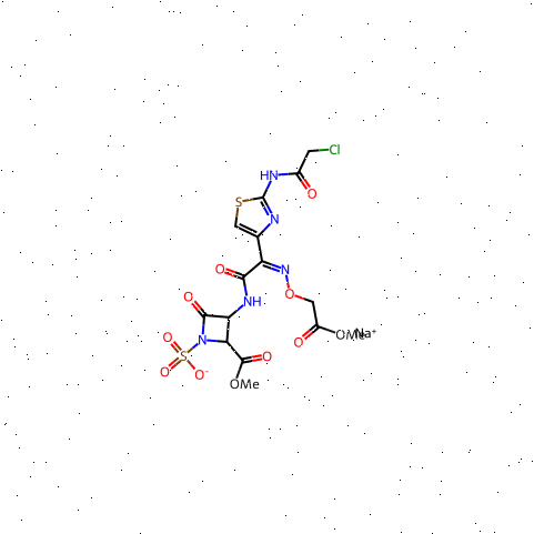 COC(=O)CON=C(C(=O)NC1C(=O)N(S(=O)(=O)[O-])C1C(=O)OC)c1csc(NC(=O)CCl)n1.[Na+]